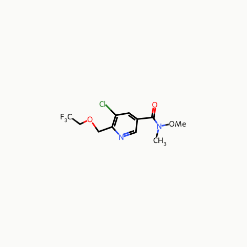 CON(C)C(=O)c1cnc(COCC(F)(F)F)c(Cl)c1